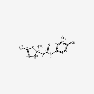 C[C@@]1(OC(=O)Nc2ccc(C#N)c(C(F)(F)F)c2)CC(C(F)(F)F)=NN1